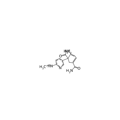 CCNc1ccc(C2(C(N)=O)CC(C(N)=O)=CC=C2C)cn1